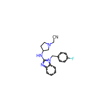 N#CCN1CCC(Nc2nc3ccccc3n2Cc2ccc(F)cc2)C1